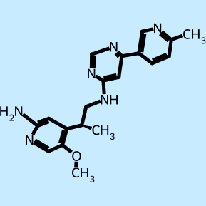 COc1cnc(N)cc1[C@H](C)CNc1cc(-c2ccc(C)nc2)ncn1